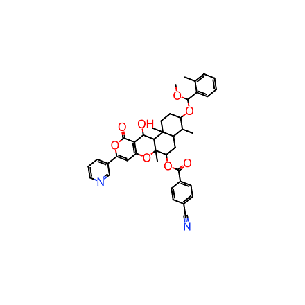 COC(OC1CCC2(C)C(CC(OC(=O)c3ccc(C#N)cc3)C3(C)Oc4cc(-c5cccnc5)oc(=O)c4C(O)C23)C1C)c1ccccc1C